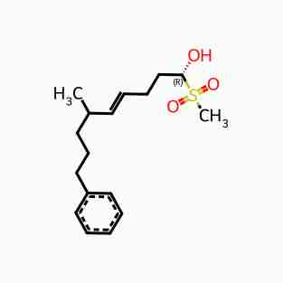 CC(C=CCC[C@H](O)S(C)(=O)=O)CCCc1ccccc1